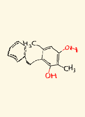 Cc1cc(O)c(C)c(O)c1Cc1ccccc1